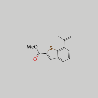 C=C(C)c1cccc2cc(C(=O)OC)sc12